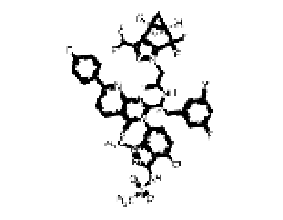 Cn1nc(NS(C)(=O)=O)c2c(Cl)ccc(-n3c([C@H](Cc4cc(F)cc(F)c4)NC(=O)Cn4nc(C(F)F)c5c4C(F)(F)[C@@H]4C[C@H]54)nc4nc(-c5ccc(F)cc5)ccc4c3=O)c21